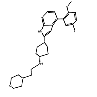 COc1ccc(F)cc1-c1ccnc2[nH]c([C@H]3CC[C@H](NCCN4CCOCC4)CC3)cc12